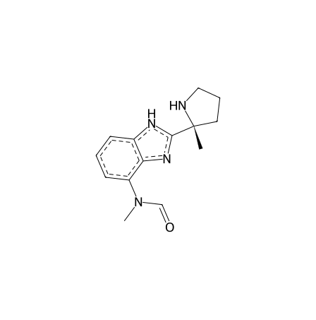 CN(C=O)c1cccc2[nH]c([C@@]3(C)CCCN3)nc12